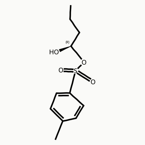 CCC[C@H](O)OS(=O)(=O)c1ccc(C)cc1